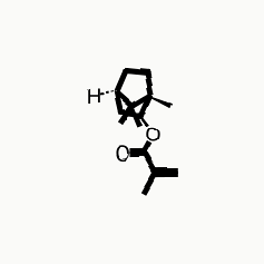 C=C(C)C(=O)O[C@H]1C[C@H]2CC[C@@]1(C)C2(C)C